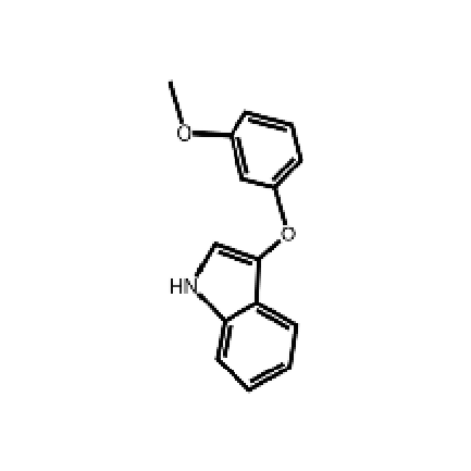 COc1cccc(Oc2c[nH]c3ccccc23)c1